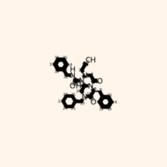 C#CCN1CC(=O)N2[C@@H](Cc3ccccc3)C(=O)N(CC3CCCCC3)C[C@@H]2N1C(=O)NCc1ccccc1